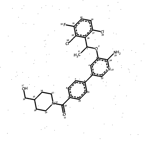 CC(Oc1cc(-c2ccc(C(=O)N3CCC(CO)CC3)cc2)cnc1N)c1c(Cl)ccc(F)c1Cl